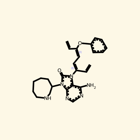 C=C/C(=C\C=C(/C=C)n1c(=O)n(C2CCCCCNC2)c2ncnc(N)c21)Oc1ccccc1